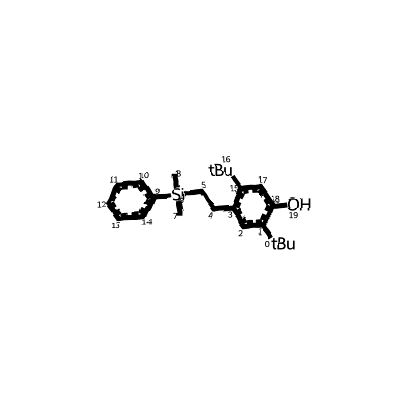 CC(C)(C)c1cc(CC[Si](C)(C)c2ccccc2)c(C(C)(C)C)cc1O